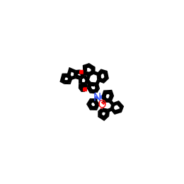 C1=CC2c3ccccc3Oc3c(cccc3N(c3ccccc3)c3ccc4c(c3)-c3ccccc3-c3ccccc3C43c4ccccc4-c4c3ccc3c4-c4ccccc4C3)C2C=C1